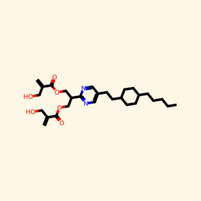 C=C(CO)C(=O)OCC(COC(=O)C(=C)CO)c1ncc(CCC2CCC(CCCCC)CC2)cn1